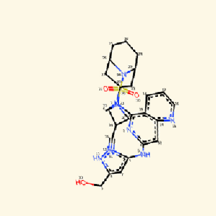 CN(c1nc(Nc2cc(CO)[nH]n2)cc2ncccc12)C1CC2CCCC(C1)N2S(=O)(=O)N1CC(C#N)C1